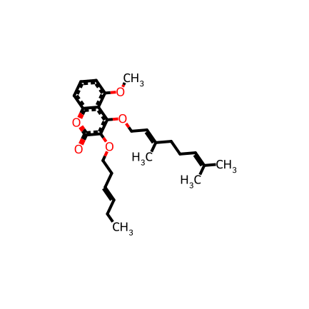 CCC=CCCOc1c(OC/C=C(\C)CCC=C(C)C)c2c(OC)cccc2oc1=O